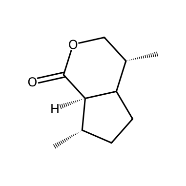 C[C@H]1COC(=O)[C@H]2C1CC[C@@H]2C